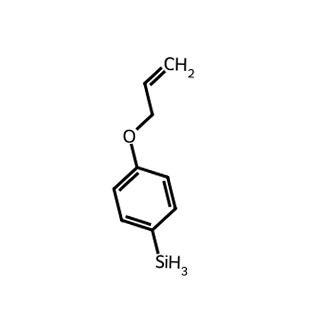 C=CCOc1ccc([SiH3])cc1